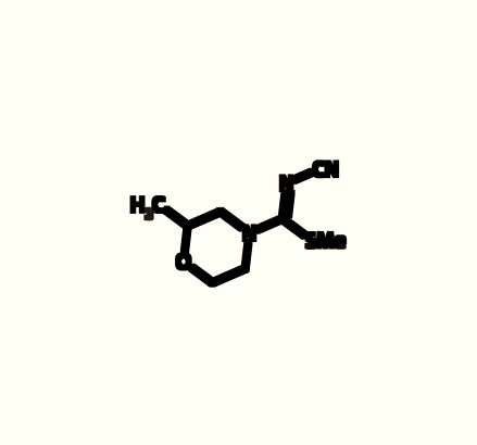 CSC(=NC#N)N1CCOC(C)C1